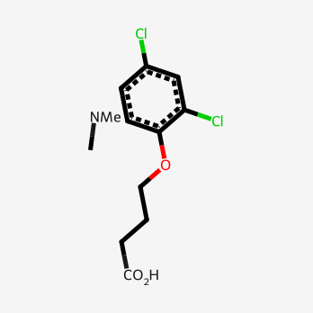 CNC.O=C(O)CCCOc1ccc(Cl)cc1Cl